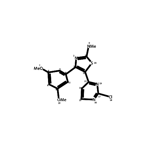 CNc1nc(-c2cc(OC)cc(OC)c2)c(-c2ccnc(Cl)n2)s1